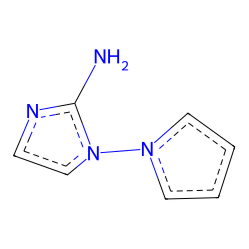 Nc1nccn1-n1cccc1